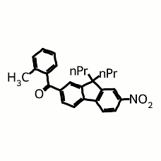 CCCC1(CCC)c2cc(C(=O)c3ccccc3C)ccc2-c2ccc([N+](=O)[O-])cc21